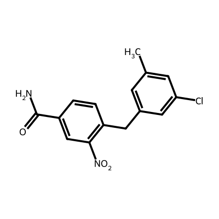 Cc1cc(Cl)cc(Cc2ccc(C(N)=O)cc2[N+](=O)[O-])c1